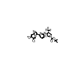 COc1cc2ncc(-c3cccc(N[C@H]4CN(C(=O)OC(C)(C)C)C[C@@H]4C(F)(F)F)n3)n2cc1Cl